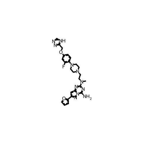 CN(CCN1CCN(c2ccc(OCc3nnc[nH]3)cc2F)CC1)c1nc(N)n2nc(-c3ccco3)cc2n1